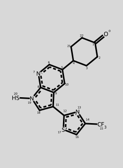 O=C1CCC(c2cnc3c(c2)c(-c2nc(C(F)(F)F)cs2)cn3S)CC1